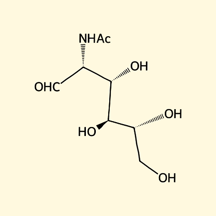 CC(=O)N[C@@H](C=O)[C@H](O)[C@H](O)[C@H](O)CO